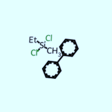 CC[Si](C)(Cl)Cl.c1ccc(-c2ccccc2)cc1